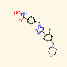 O=C(NO)c1ccc(Cn2cc(-c3ccc(CN4CCOCC4)cc3F)nn2)cc1